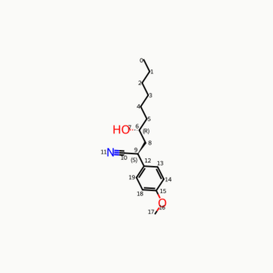 CCCCCC[C@@H](O)C[C@H](C#N)c1ccc(OC)cc1